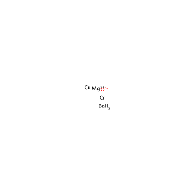 [BaH2].[Cr].[Cu].[Mg+2].[O-2]